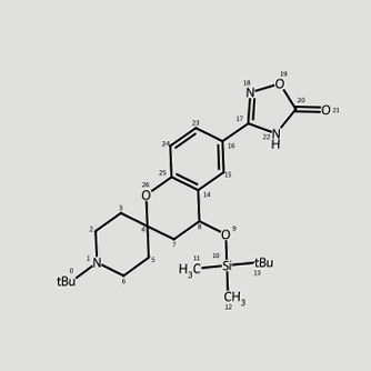 CC(C)(C)N1CCC2(CC1)CC(O[Si](C)(C)C(C)(C)C)c1cc(-c3noc(=O)[nH]3)ccc1O2